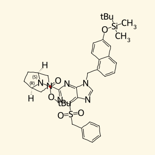 CC(C)(C)OC(=O)N1[C@@H]2CC[C@H]1CN(c1nc(S(=O)(=O)Cc3ccccc3)c3ncn(Cc4cccc5cc(O[Si](C)(C)C(C)(C)C)ccc45)c3n1)C2